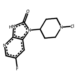 O=c1[nH]c2ncc(F)cc2n1C1CCN(Cl)CC1